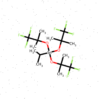 C[CH](C)[Sn]([O]C(C)(C)C(F)(F)F)([O]C(C)(C)C(F)(F)F)[O]C(C)(C)C(F)(F)F